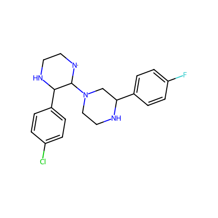 Fc1ccc(C2CN(C3[N]CCNC3c3ccc(Cl)cc3)CCN2)cc1